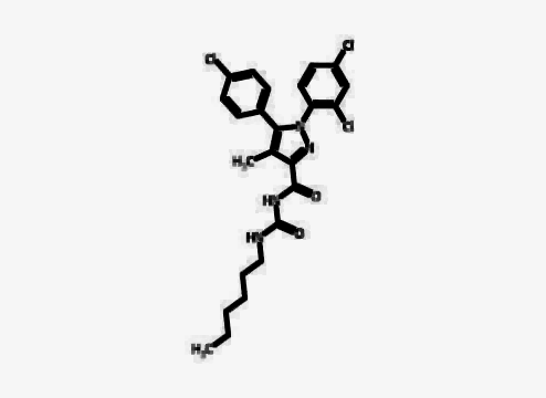 CCCCCCNC(=O)NC(=O)c1nn(-c2ccc(Cl)cc2Cl)c(-c2ccc(Cl)cc2)c1C